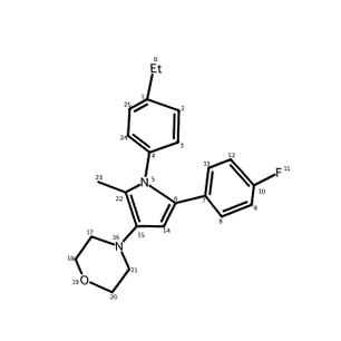 CCc1ccc(-n2c(-c3ccc(F)cc3)cc(N3CCOCC3)c2C)cc1